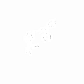 CCC(C#N)c1cccc(CCCC(c2ccccc2)n2ccnc2)c1